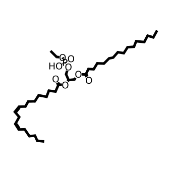 CCCCC/C=C\C/C=C\CCCCCCCC(=O)OC(COC(=O)CCCCCCCCCCCCCCC)COP(=O)(O)OCC